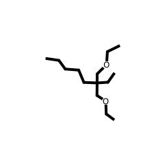 CCCCCC(CC)(COCC)COCC